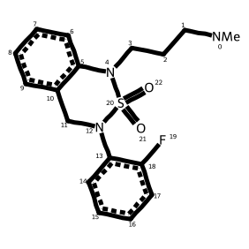 CNCCCN1c2ccccc2CN(c2ccccc2F)S1(=O)=O